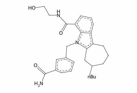 CCCCC1CCCc2c(n(Cc3cccc(C(N)=O)c3)c3c(C(=O)NCCO)cccc23)C1